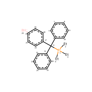 CC[P+](CC)(CC)C(c1ccccc1)(c1ccccc1)c1ccccc1.[BH4-]